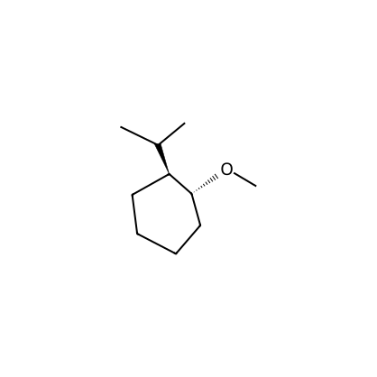 CO[C@@H]1CCCC[C@H]1C(C)C